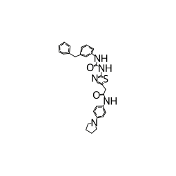 O=C(Cc1cnc(NC(=O)Nc2cccc(Cc3ccccc3)c2)s1)Nc1ccc(N2CCCC2)cc1